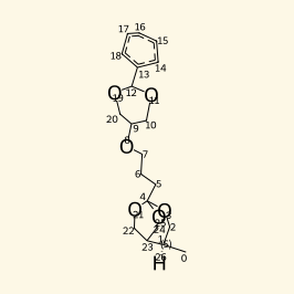 C[C@@H]1COC2(CCCOC3COC(c4ccccc4)OC3)OCC1CO2